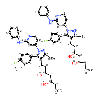 CCC(C)c1nn(-c2ccnc(Nc3ccccc3)c2)c(-c2ccc(F)cc2)c1CC[C@@H](O)C[C@@H](O)CC(=O)[O-].CCC(C)c1nn(-c2ccnc(Nc3ccccc3)c2)c(-c2ccc(F)cc2)c1CC[C@@H](O)C[C@@H](O)CC(=O)[O-].[Ca+2]